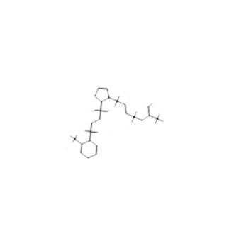 CC(C)(CCC(C)(C)C1CCCC1C(C)(C)CCC(C)(C)C1CCCCC1C(C)(C)C)CC(CCl)C(C)(C)C